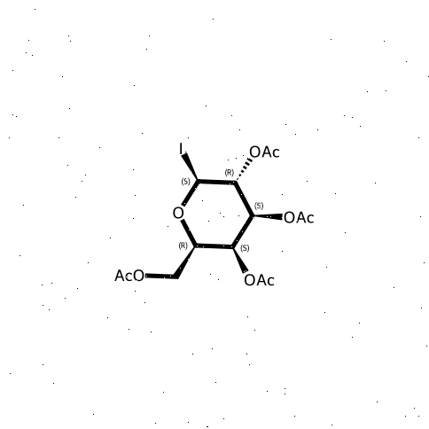 CC(=O)OC[C@H]1O[C@@H](I)[C@H](OC(C)=O)[C@@H](OC(C)=O)[C@H]1OC(C)=O